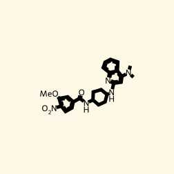 COc1cc(C(=O)NC2CCC(Nc3cc(N(C)C)c4ccccc4n3)CC2)ccc1[N+](=O)[O-]